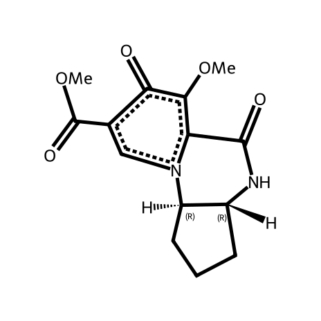 COC(=O)c1cn2c(c(OC)c1=O)C(=O)N[C@@H]1CCC[C@H]12